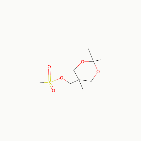 CC1(COS(C)(=O)=O)COC(C)(C)OC1